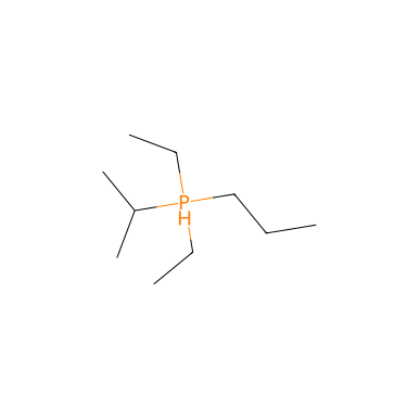 CCC[PH](CC)(CC)C(C)C